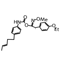 CC=CCCc1ccc(NC(=O)OC([CH]c2ccc(OCC)cc2)=NOC)cc1